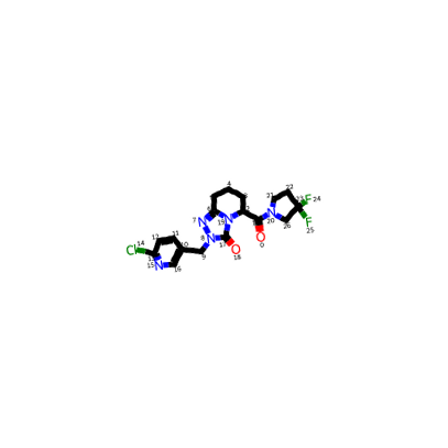 O=C(C1CCCc2nn(Cc3ccc(Cl)nc3)c(=O)n21)N1CCC(F)(F)C1